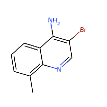 Cc1cccc2c(N)c(Br)cnc12